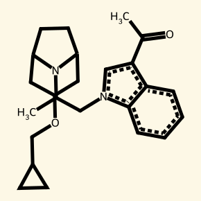 CC(=O)c1cn(CC(C)N2C3CCC2CC(OCC2CC2)C3)c2ccccc12